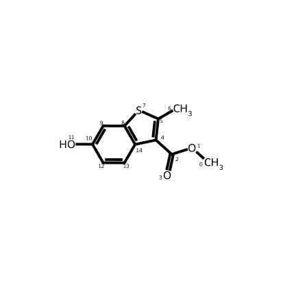 COC(=O)c1c(C)sc2cc(O)ccc12